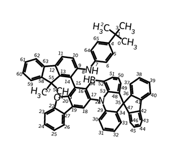 CC(C)(C)c1ccc(Nc2ccc3c(c2-c2c4c(cc5c2oc2ccccc25)N2c5ccccc5C5(c6ccccc6-c6ccccc65)c5cccc(c52)B4)C(C)(C)c2ccccc2-3)cc1